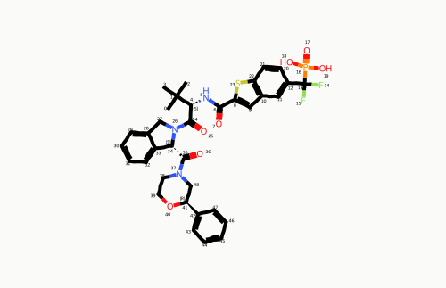 CC(C)(C)[C@H](NC(=O)c1cc2cc(C(F)(F)P(=O)(O)O)ccc2s1)C(=O)N1Cc2ccccc2[C@H]1C(=O)N1CCO[C@H](c2ccccc2)C1